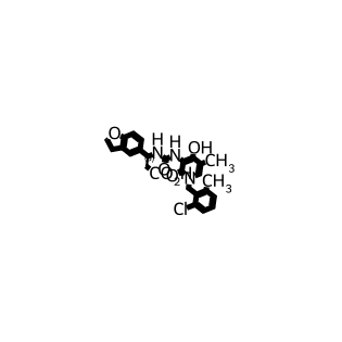 Cc1cn(Cc2c(C)cccc2Cl)c(=O)c(NC(=O)N[C@@H](CC(=O)O)c2ccc3c(c2)CCO3)c1O